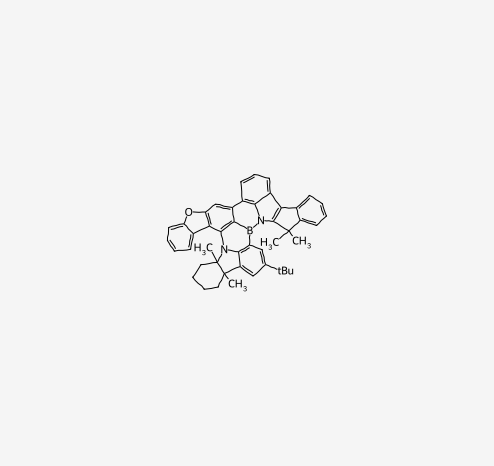 CC(C)(C)c1cc2c3c(c1)C1(C)CCCCC1(C)N3c1c3c(cc4oc5ccccc5c14)-c1cccc4c5c(n(c14)B23)C(C)(C)c1ccccc1-5